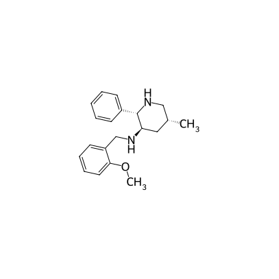 COc1ccccc1CN[C@@H]1C[C@@H](C)CN[C@H]1c1ccccc1